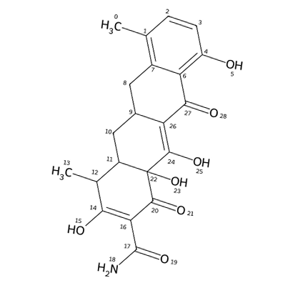 Cc1ccc(O)c2c1CC1CC3C(C)C(O)=C(C(N)=O)C(=O)C3(O)C(O)=C1C2=O